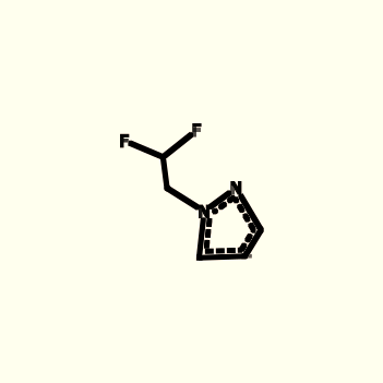 FC(F)Cn1c[c]cn1